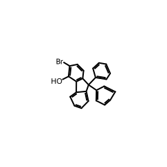 Oc1c(Br)ccc2c1-c1ccccc1C2(c1ccccc1)c1ccccc1